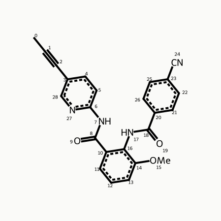 CC#Cc1ccc(NC(=O)c2cccc(OC)c2NC(=O)c2ccc(C#N)cc2)nc1